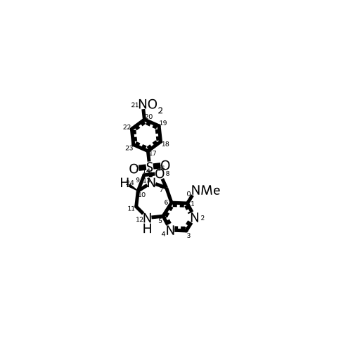 CNc1ncnc2c1C1OC[C@@H](CN2)N1S(=O)(=O)c1ccc([N+](=O)[O-])cc1